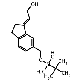 CC(C)(C)[Si](C)(C)OCc1ccc2c(c1)/C(=C/CO)CC2